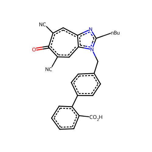 CCCCc1nc2cc(C#N)c(=O)c(C#N)cc2n1Cc1ccc(-c2ccccc2C(=O)O)cc1